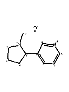 CN1CCCC1c1cccnc1.[Cr]